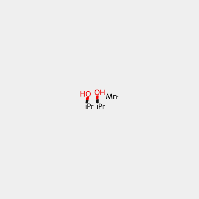 CC(C)O.CC(C)O.[Mn]